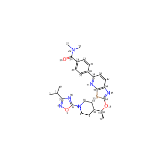 CC(C)c1noc(N2CCC([C@H](C)Oc3nc4ccc(-c5ccc(C(=O)N(C)C)cc5)nc4s3)CC2)n1